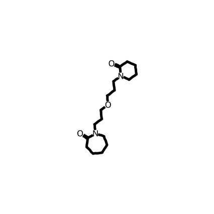 O=C1CCCCCN1CCCOCCCN1CCCCC1=O